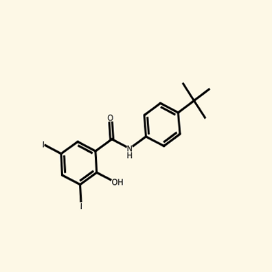 CC(C)(C)c1ccc(NC(=O)c2cc(I)cc(I)c2O)cc1